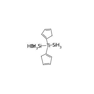 Br.[SiH3][Ti]([SiH3])([C]1=CC=CC1)[C]1=CC=CC1